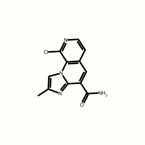 Cc1cn2c(n1)c(C(N)=O)cc1ccnc(Cl)c12